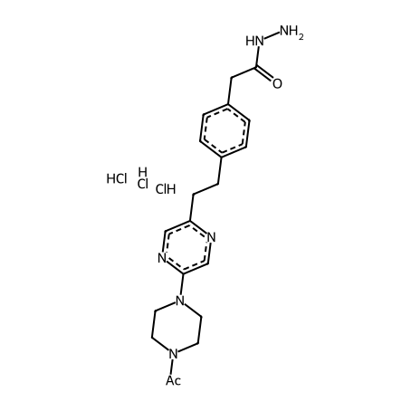 CC(=O)N1CCN(c2cnc(CCc3ccc(CC(=O)NN)cc3)cn2)CC1.Cl.Cl.Cl